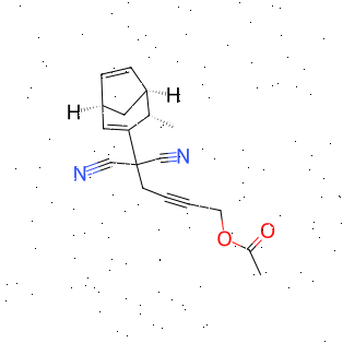 CC(=O)OCC#CCC(C#N)(C#N)C1=C[C@H]2C=C[C@H](C2)[C@@H]1C